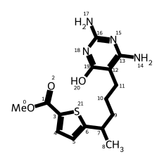 COC(=O)c1ccc(C(C)CCCc2c(N)nc(N)nc2O)s1